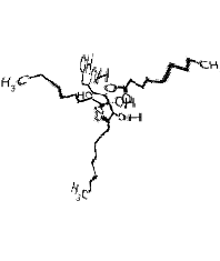 CCCCCCCCC(=O)O[C@@H]([C@H](O)[C@H](O)CO)[C@](O)(C(=O)CCCCCCCC)C(O)C(=O)CCCCCCCC